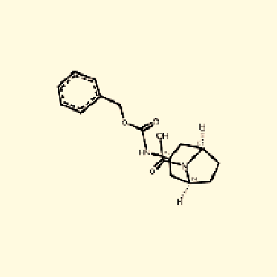 O=C(N[C@H]1C[C@H]2CC[C@@H](C1)N2C(=O)O)OCc1ccccc1